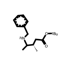 CC(NCc1ccccc1)[C@@H](C)CC(=O)OC(C)(C)C